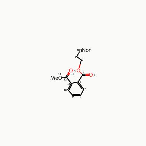 CCCCCCCCCCCOC(=O)c1ccccc1C(=O)OC